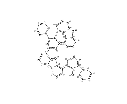 c1ccc(-c2nc(-c3cccc4c3oc3c(-c5cccc6c5oc5ccccc56)cccc34)nc(-c3cccc4oc5ccccc5c34)n2)cc1